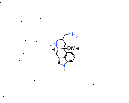 CO[C@]12CC(CN)CN(C)[C@@H]1Cc1cn(C)c3cccc2c13